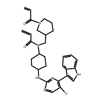 C=CC(=O)N1CCCC(CN(C(=O)C=C)C2CCC(Nc3ncc(Cl)c(-c4c[nH]c5ccccc45)n3)CC2)C1